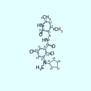 Cc1cc(C)c(CNC(=O)c2cc(Cl)cc(N(C)C3CCCC3)c2Cl)c(=O)[nH]1